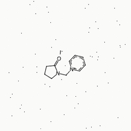 O=C1CCCN1C[n+]1ccccc1.[I-]